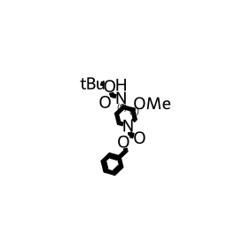 CO[C@@H]1CN(C(=O)OCc2ccccc2)CC[C@@H]1NC(=O)OC(C)(C)C